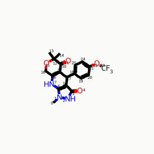 Cn1[nH]c(=O)c2c1NC1=C(C(=O)C(C)(C)OC1)C2c1ccc(OC(F)(F)F)cc1